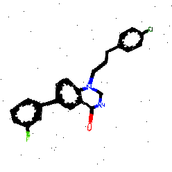 O=C1NCN(CCCc2ccc(Cl)cc2)c2ccc(-c3cccc(F)c3)cc21